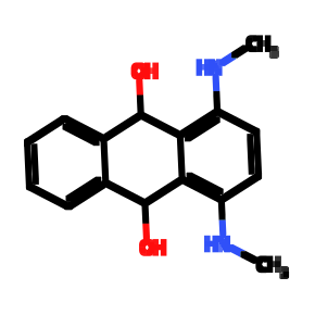 CNc1ccc(NC)c2c1C(O)c1ccccc1C2O